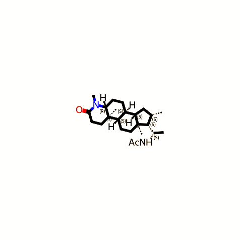 CC(=O)N[C@@H](C)[C@H]1[C@@H](C)C[C@H]2[C@@H]3CC[C@H]4N(C)C(=O)CC[C@]4(C)[C@H]3CC[C@]12C